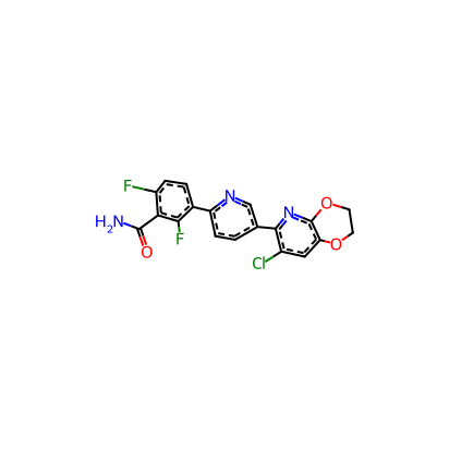 NC(=O)c1c(F)ccc(-c2ccc(-c3nc4c(cc3Cl)OCCO4)cn2)c1F